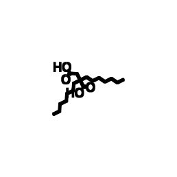 CCCCCCCC(CCCCCCC)(CC(=O)O)C(=O)O